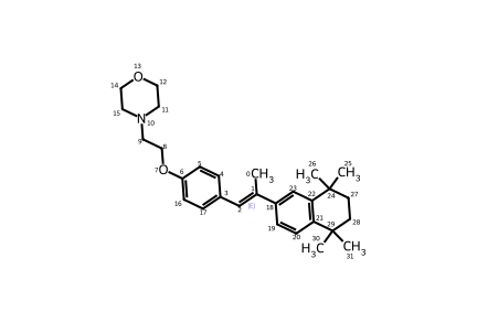 C/C(=C\c1ccc(OCCN2CCOCC2)cc1)c1ccc2c(c1)C(C)(C)CCC2(C)C